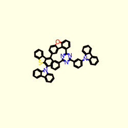 c1ccc(-c2nc(-c3cccc(-n4c5ccccc5c5ccccc54)c3)nc(-c3cccc4oc5ccc(-c6ccc(-n7c8ccccc8c8ccccc87)c7sc8ccccc8c67)cc5c34)n2)cc1